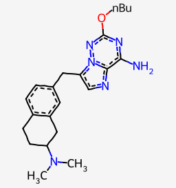 CCCCOc1nc(N)c2ncc(Cc3ccc4c(c3)CC(N(C)C)CC4)n2n1